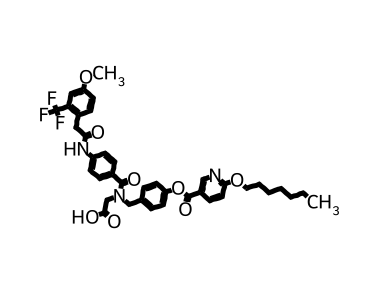 CCCCCCCOc1ccc(C(=O)Oc2ccc(CN(CC(=O)O)C(=O)c3ccc(NC(=O)Cc4ccc(OC)cc4C(F)(F)F)cc3)cc2)cn1